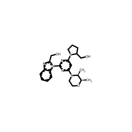 C[C@H]1OCCN(c2cc(N3CCCC3CO)nc(-n3c(CO)nc4ccccc43)n2)[C@H]1C